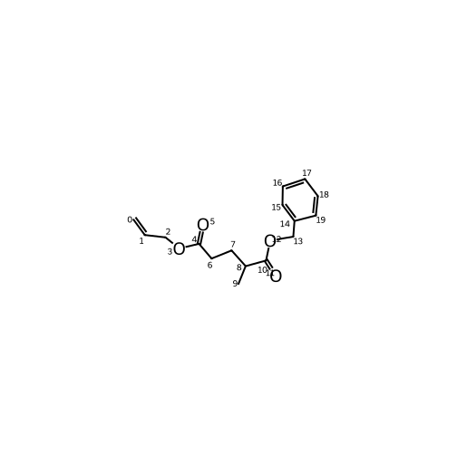 C=CCOC(=O)CCC(C)C(=O)OCc1ccccc1